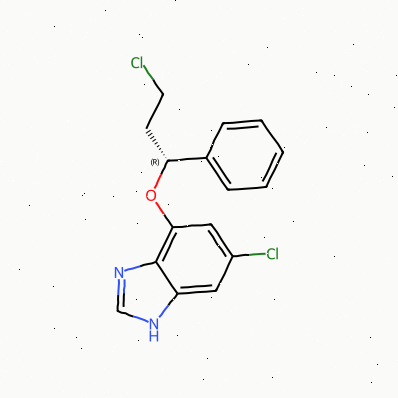 ClCC[C@@H](Oc1cc(Cl)cc2[nH]cnc12)c1ccccc1